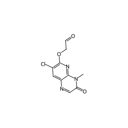 Cn1c(=O)cnc2cc(Cl)c(OCC=O)nc21